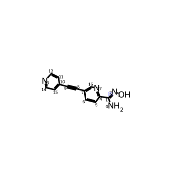 N/C(=N\O)c1ccc(C#Cc2ccncc2)cn1